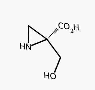 O=C(O)[C@@]1(CO)CN1